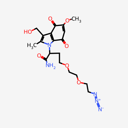 COC1=CC(=O)c2c(c(CO)c(C)n2C(CCOCCOCCN=[N+]=[N-])C(N)=O)C1=O